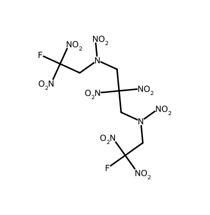 O=[N+]([O-])N(CC(F)([N+](=O)[O-])[N+](=O)[O-])CC(CN(CC(F)([N+](=O)[O-])[N+](=O)[O-])[N+](=O)[O-])([N+](=O)[O-])[N+](=O)[O-]